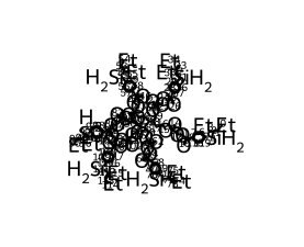 CC/C=C(\CC)[SiH2]c1ccc(C(=O)OOC(=O)OCCC(COC(=O)OOC(=O)c2ccc([SiH2]/C(=C/CC)CC)cc2)C(COC(=O)OOC(=O)c2ccc([SiH2]/C(=C/CC)CC)cc2)C(COC(=O)OOC(=O)c2ccc([SiH2]/C(=C/CC)CC)cc2)C(CCOC(=O)OOC(=O)c2ccc([SiH2]/C(=C/CC)CC)cc2)COC(=O)OOC(=O)c2ccc([SiH2]/C(=C/CC)CC)cc2)cc1